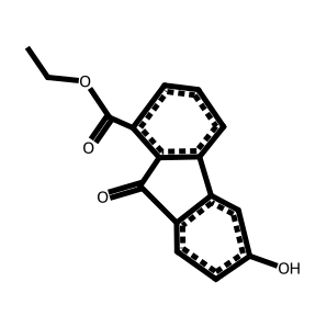 CCOC(=O)c1cccc2c1C(=O)c1ccc(O)cc1-2